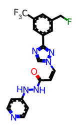 O=C(/C=C\n1cnc(-c2cc(CF)cc(C(F)(F)F)c2)n1)NNc1ccncc1